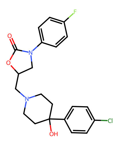 O=C1OC(CN2CCC(O)(c3ccc(Cl)cc3)CC2)CN1c1ccc(F)cc1